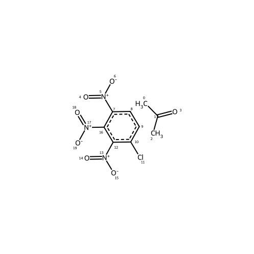 CC(C)=O.O=[N+]([O-])c1ccc(Cl)c([N+](=O)[O-])c1[N+](=O)[O-]